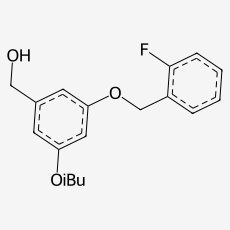 CC(C)COc1cc(CO)cc(OCc2ccccc2F)c1